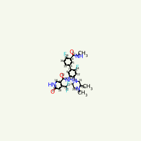 CNC(=O)c1cc(-c2cc(NC(=O)c3c[nH]c(=O)cc3C(F)F)c(N3CCN(C)[C@H](C)C3)cc2F)ccc1F